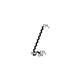 CCCCCCCCCCCCCCCCC1=NCCN1CC(C)O